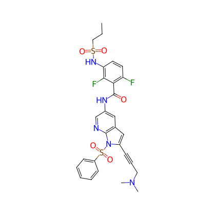 CCCS(=O)(=O)Nc1ccc(F)c(C(=O)Nc2cnc3c(c2)cc(C#CCN(C)C)n3S(=O)(=O)c2ccccc2)c1F